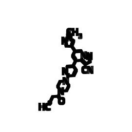 C#CCC(=O)N1CCN(c2ccc(-c3cc(-c4cnn(C)c4)cn4ncc(C#N)c34)cn2)CC1